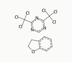 ClC(Cl)(Cl)c1ncnc(C(Cl)(Cl)Cl)n1.c1ccc2c(c1)CCO2